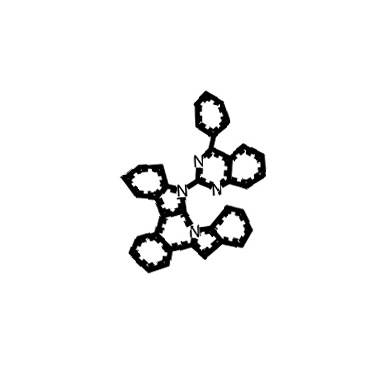 c1ccc(-c2nc(-n3c4ccccc4c4c5ccccc5c5cc6ccccc6n5c43)nc3ccccc23)cc1